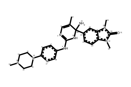 CC1=CN=C(Nc2ccc(N3CCN(C)CC3)nc2)NC1(N)c1ccc2c(c1)n(C)c(=O)n2C